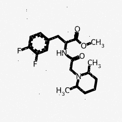 COC(=O)C(Cc1ccc(F)c(F)c1)NC(=O)CN1C(C)CCCC1C